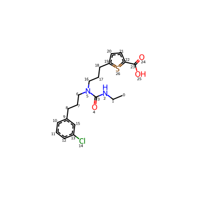 CCNC(=O)N(CCCc1cccc(Cl)c1)CCCc1ccc(C(=O)O)s1